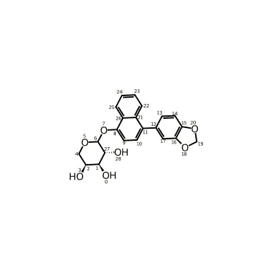 O[C@H]1[C@@H](O)COC(Oc2ccc(-c3ccc4c(c3)OCO4)c3ccccc23)[C@@H]1O